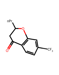 CCCC1CC(=O)c2ccc(C(F)(F)F)cc2O1